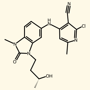 Cc1cc(Nc2ccc3c(c2)n(CC[C@@H](C)O)c(=O)n3C)c(C#N)c(Cl)n1